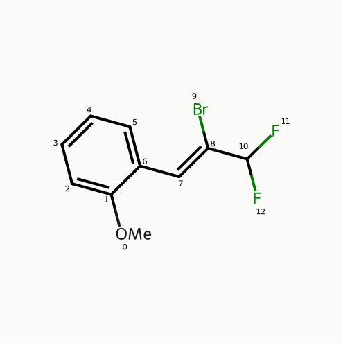 COc1ccccc1C=C(Br)C(F)F